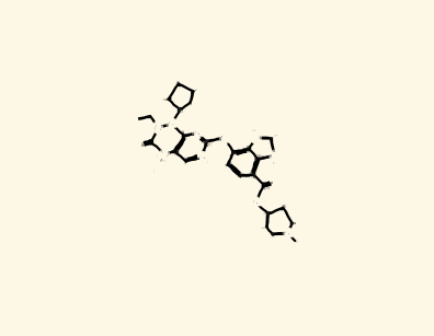 CCN1C(=O)N(C)c2cnc(Nc3ccc(C(=O)NC4CCN(C)CC4)c4c3OCO4)nc2N1C1CCCC1